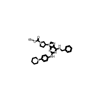 CC(C)(C)OC(=O)N1CCC(n2cnc3c(NCc4ccccc4)nc(Nc4ccc(N5CCCCC5)cc4)nc32)C1